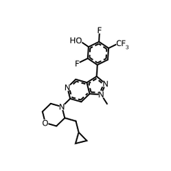 Cn1nc(-c2cc(C(F)(F)F)c(F)c(O)c2F)c2cnc(N3CCOCC3CC3CC3)cc21